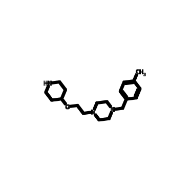 Cc1ccc(CN2CCN(CCOC3CCNCC3)CC2)cc1